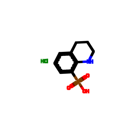 Cl.O=S(=O)(O)c1cccc2c1NCCC2